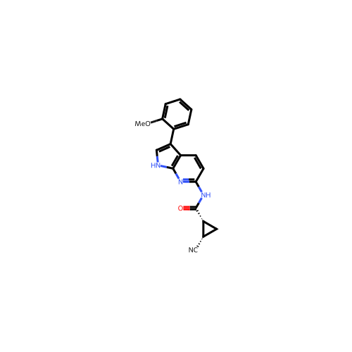 COc1ccccc1-c1c[nH]c2nc(NC(=O)[C@@H]3C[C@@H]3C#N)ccc12